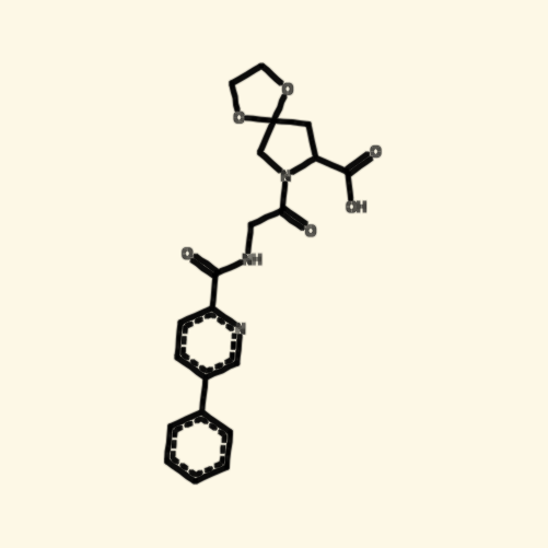 O=C(NCC(=O)N1CC2(CC1C(=O)O)OCCO2)c1ccc(-c2ccccc2)cn1